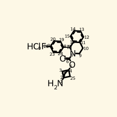 Cl.NC12CC(OC(=O)N3CCc4ccccc4[C@@H]3c3ccc(F)cc3)(C1)C2